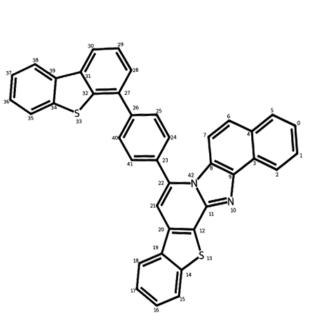 c1ccc2c(c1)ccc1c2nc2c3sc4ccccc4c3cc(-c3ccc(-c4cccc5c4sc4ccccc45)cc3)n12